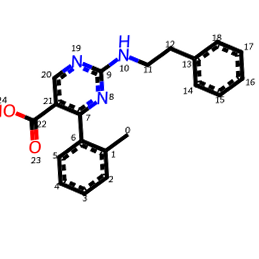 Cc1ccccc1-c1nc(NCCc2ccccc2)ncc1C(=O)O